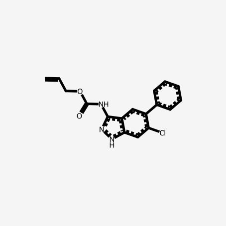 C=CCOC(=O)Nc1n[nH]c2cc(Cl)c(-c3ccccc3)cc12